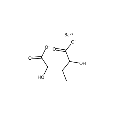 CCC(O)C(=O)[O-].O=C([O-])CO.[Ba+2]